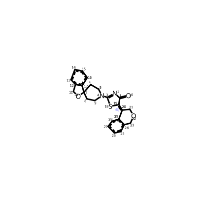 O=C1N=C(N2CCC3(CC2)OCc2ccccc23)S/C1=C1/COCc2ccccc21